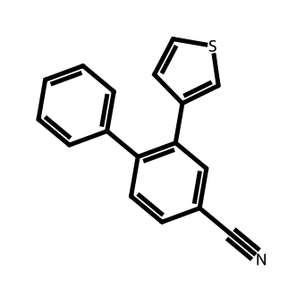 N#Cc1ccc(-c2ccccc2)c(-c2ccsc2)c1